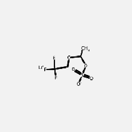 CC(OCC(F)(F)F)OS(=O)(=O)[O-].[Li+]